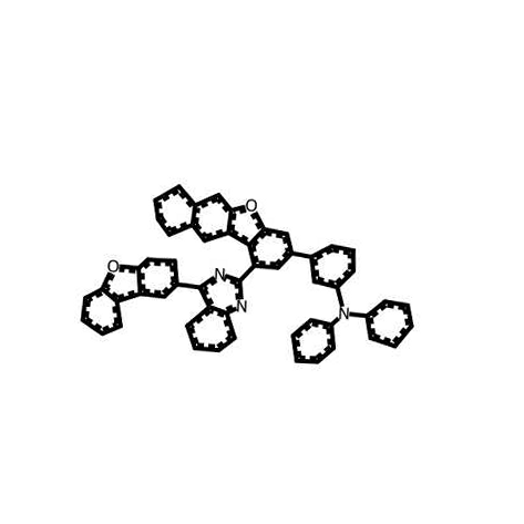 c1ccc(N(c2ccccc2)c2cccc(-c3cc(-c4nc(-c5ccc6oc7ccccc7c6c5)c5ccccc5n4)c4c(c3)oc3cc5ccccc5cc34)c2)cc1